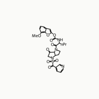 CCCC(NC(=O)Oc1cc2cccc(OC)c2o1)C(=O)N1CCC2C1C(=O)CN2S(=O)(=O)C(=O)c1cccnc1